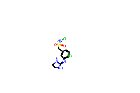 Cl.O=S(=O)(Cc1cccc(N=C2NCCN2)c1)NCl